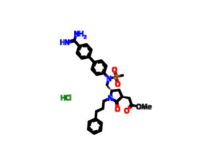 COC(=O)C[C@@H]1C[C@@H](CN(c2ccc(-c3ccc(C(=N)N)cc3)cc2)S(C)(=O)=O)N(CCCc2ccccc2)C1=O.Cl